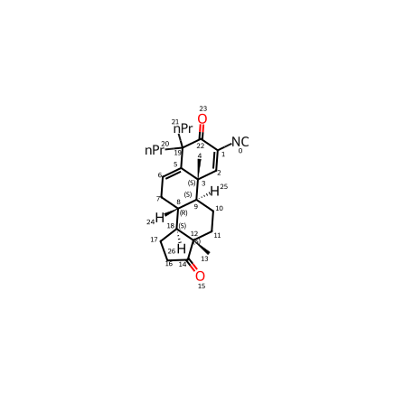 [C-]#[N+]C1=C[C@@]2(C)C(=CC[C@@H]3[C@@H]2CC[C@]2(C)C(=O)CC[C@@H]32)C(CCC)(CCC)C1=O